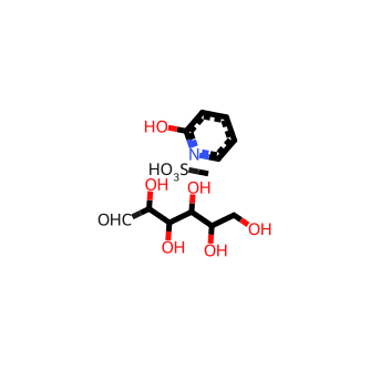 CS(=O)(=O)O.O=CC(O)C(O)C(O)C(O)CO.Oc1ccccn1